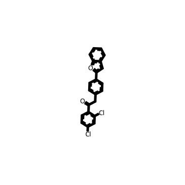 O=C(Cc1ccc(-c2cc3ccccc3o2)cc1)c1ccc(Cl)cc1Cl